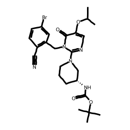 CC(C)Oc1cnc(N2CCC[C@@H](NC(=O)OC(C)(C)C)C2)n(Cc2cc(Br)ccc2C#N)c1=O